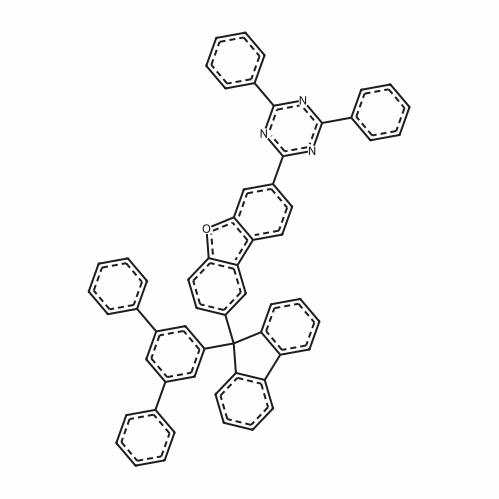 c1ccc(-c2cc(-c3ccccc3)cc(C3(c4ccc5oc6cc(-c7nc(-c8ccccc8)nc(-c8ccccc8)n7)ccc6c5c4)c4ccccc4-c4ccccc43)c2)cc1